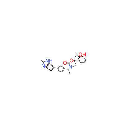 Cc1nc2ccc(-c3ccc([C@H](C)N4CC[C@](CC(C)(C)O)(c5ccccc5)OC4=O)cc3)cc2[nH]1